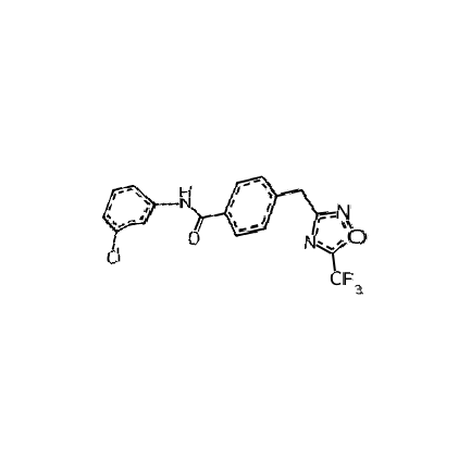 O=C(Nc1cccc(Cl)c1)c1ccc(Cc2noc(C(F)(F)F)n2)cc1